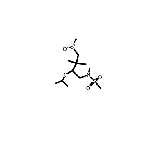 CC(C)OC(CN(C)S(C)(=O)=O)C(C)(C)C[S@+](C)[O-]